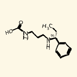 CC[C@@H](NCCCNC(=O)O)c1ccccc1